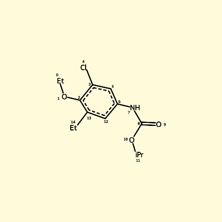 CCOc1c(Cl)cc(NC(=O)OC(C)C)cc1CC